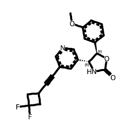 COc1cccc([C@H]2OC(=O)N[C@@H]2c2cncc(C#CC3CC(F)(F)C3)c2)c1